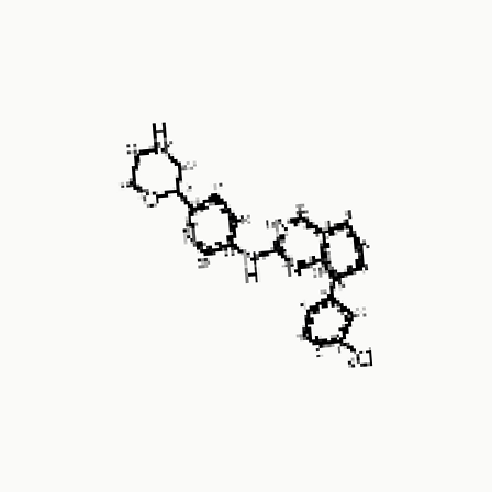 Clc1cccc(-c2cccc3cnc(Nc4ccc(C5CNCCO5)nc4)nc23)c1